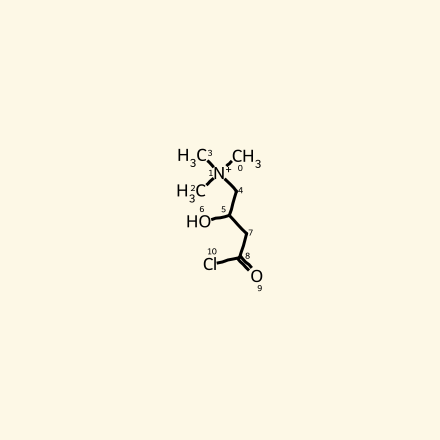 C[N+](C)(C)CC(O)CC(=O)Cl